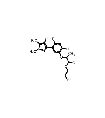 CC(C)CCOC(=O)C(C)Oc1cc(-c2nn(C)c(C(F)(F)F)c2Cl)c(F)cc1Cl